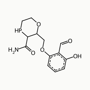 NC(=O)C1PCCOC1COc1cccc(O)c1C=O